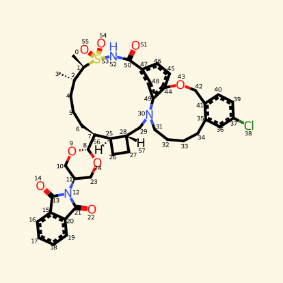 C[C@@H]1[C@@H](C)CCC[C@H]([C@H]2OC[C@H](N3C(=O)c4ccccc4C3=O)CO2)[C@@H]2CC[C@H]2CN2CCCCc3cc(Cl)ccc3COc3ccc(cc32)C(=O)NS1(=O)=O